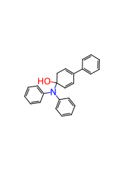 OC1(N(c2ccccc2)c2ccccc2)C=CC(c2ccccc2)=CC1